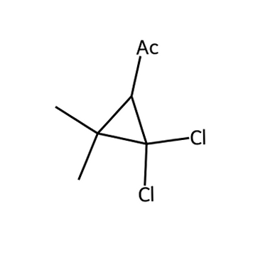 CC(=O)C1C(C)(C)C1(Cl)Cl